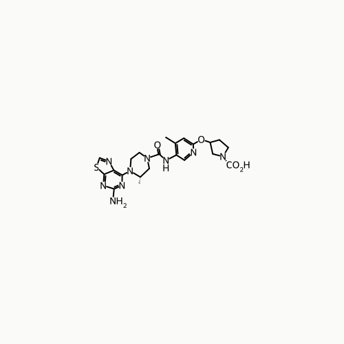 Cc1cc(OC2CCN(C(=O)O)C2)ncc1NC(=O)N1CCN(c2nc(N)nc3scnc23)[C@@H](C)C1